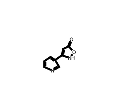 O=c1cc(-c2cccnc2)[nH]o1